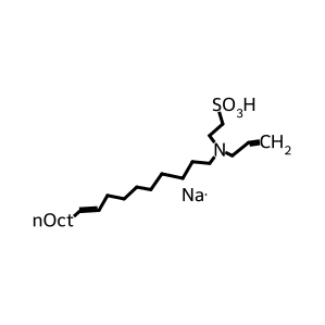 C=CCN(CCCCCCCCC=CCCCCCCCC)CCS(=O)(=O)O.[Na]